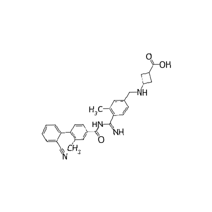 Cc1cc(CNC2CC(C(=O)O)C2)ccc1C(=N)NC(=O)c1ccc(-c2ccccc2C#N)c(C)c1